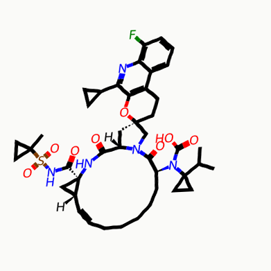 CC(C)C1(N(C(=O)O)[C@H]2CCCCC/C=C\[C@@H]3C[C@@]3(C(=O)NS(=O)(=O)C3(C)CC3)NC(=O)[C@@H]3C[C@]4(CCc5c(c(C6CC6)nc6c(F)cccc56)O4)CN3C2=O)CC1